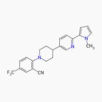 Cn1cccc1-c1ccc(C2CCN(c3ccc(C(F)(F)F)cc3C#N)CC2)cn1